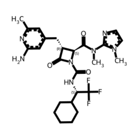 Cc1cc(C[C@H]2C(=O)N(C(=O)N[C@@H](C3CCCCC3)C(F)(F)F)[C@@H]2C(=O)N(C)c2nccn2C)cc(N)n1